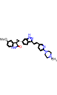 COc1ccc2c(c1)[C@]1(C[C@@H]1c1ccc3c(/C=C/c4ccc(N5CCN(C)CC5)nc4)n[nH]c3c1)C(=O)N2